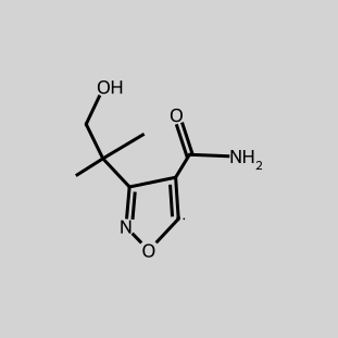 CC(C)(CO)c1no[c]c1C(N)=O